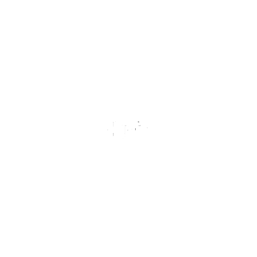 [Au].[Co].[Ir].[Re]